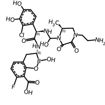 C[C@H]1CN(CCN)C(=O)C(=O)N1C(O)N[C@@H](C(=O)N[C@H]1Cc2ccc(F)c(C(=O)O)c2OB1O)c1ccc(O)c(O)c1Cl